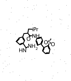 CC(C)CC(Cc1cccc(C(=N)N)c1)C(=O)Nc1ccc(-c2ccccc2S(C)(=O)=O)cc1